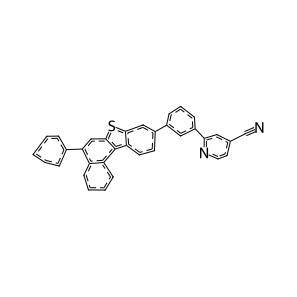 N#Cc1ccnc(-c2cccc(-c3ccc4c(c3)sc3cc(-c5ccccc5)c5ccccc5c34)c2)c1